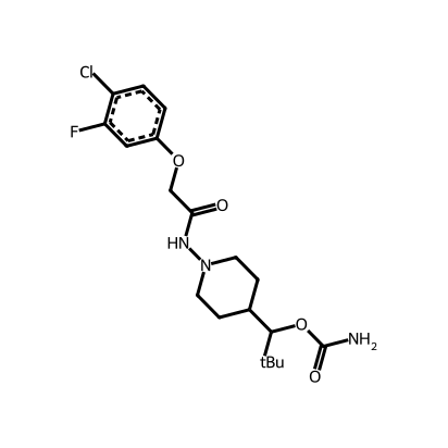 CC(C)(C)C(OC(N)=O)C1CCN(NC(=O)COc2ccc(Cl)c(F)c2)CC1